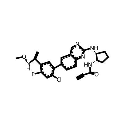 C#CC(=O)N[C@H]1CCC[C@H]1Nc1ncc2cc(-c3cc(C(=C)NOC)c(F)cc3Cl)ccc2n1